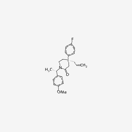 C=CC[C@@]1(c2ccc(F)cc2)CCN([C@@H](C)c2ccc(OC)cc2)C(=O)C1